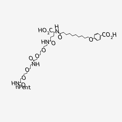 CCCCCNC(=O)COCCOCCNC(=O)COCCOCCNC(=O)CC[C@H](NC(=O)CCCCCCCCCOc1ccc(C(=O)O)cc1)C(=O)O